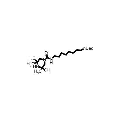 CCCCCCCCCCCCCCCCCCNC(=O)N1CC(C)(C)NC(C)(C)C1